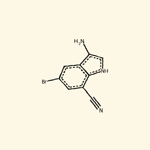 N#Cc1cc(Br)cc2c(N)c[nH]c12